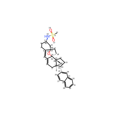 C[C@]12CC=C3C=C4CC[C@@H](NS(C)(=O)=O)C[C@]45CC[C@]3(O5)[C@@H]1CC[C@@H]2c1ccc2ccccc2c1